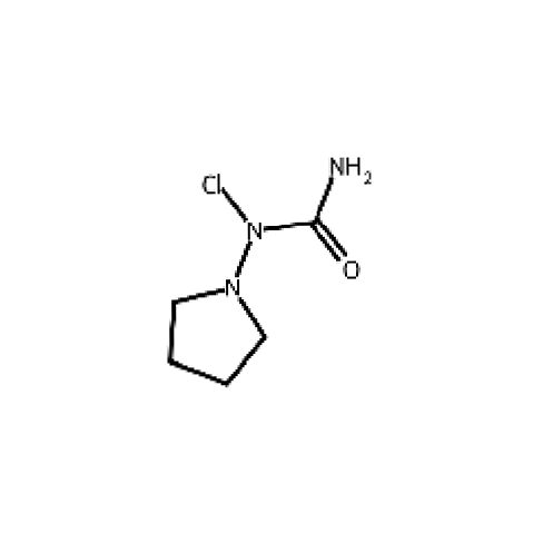 NC(=O)N(Cl)N1CCCC1